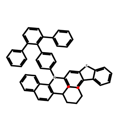 c1ccc(-c2cccc(-c3ccccc3)c2-c2ccc(N(c3ccc4c(c3)sc3ccccc34)c3c(C4CCCCC4)ccc4ccccc34)cc2)cc1